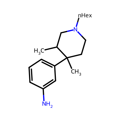 CCCCCCN1CCC(C)(c2cccc(N)c2)C(C)C1